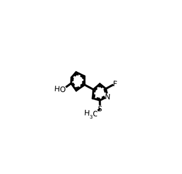 CSc1cc(-c2cccc(O)c2)cc(F)n1